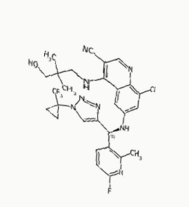 Cc1nc(F)ccc1[C@H](Nc1cc(Cl)c2ncc(C#N)c(NCC(C)(C)CO)c2c1)c1cn(C2(C(F)(F)F)CC2)nn1